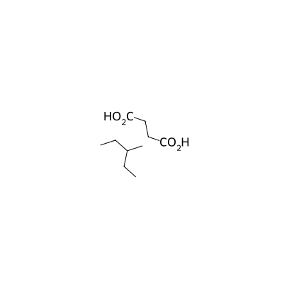 CCC(C)CC.O=C(O)CCC(=O)O